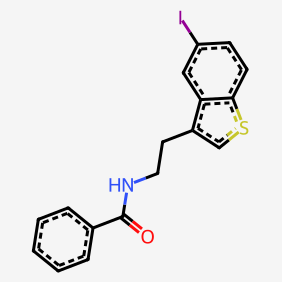 O=C(NCCc1csc2ccc(I)cc12)c1ccccc1